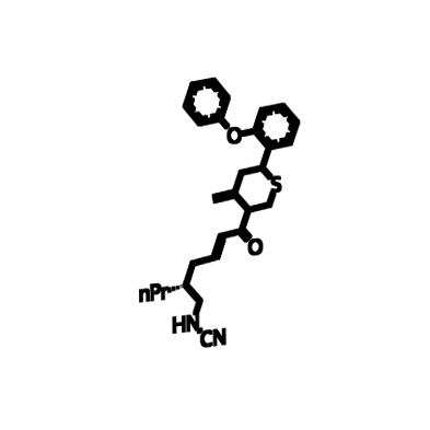 C=C1CC(c2ccccc2Oc2ccccc2)SCC1C(=O)/C=C/C[C@@H](CCC)CNC#N